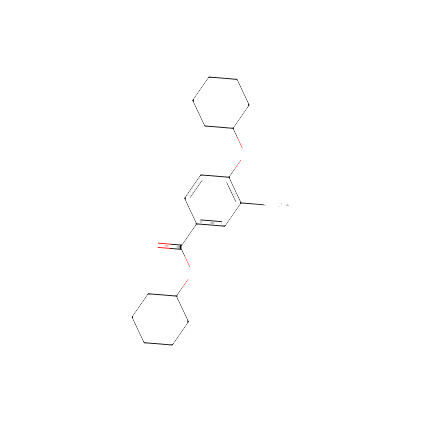 COc1cc(C(=O)OC2CCCCC2)ccc1OC1CCCCC1